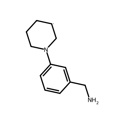 NCc1cccc(N2C[CH]CCC2)c1